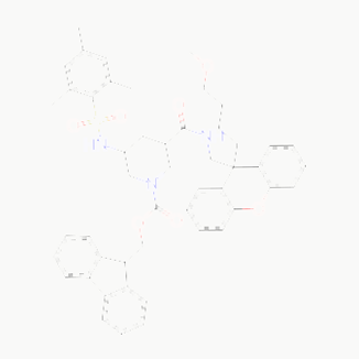 COCCCCC1(CNC(=O)C2CC(NS(=O)(=O)c3c(C)cc(C)cc3C)CN(C(=O)OCC3c4ccccc4-c4ccccc43)C2)c2ccccc2Oc2ccccc21